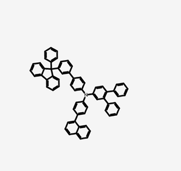 c1ccc(-c2ccc(N(c3ccc(-c4cccc(C5(c6ccccc6)c6ccccc6-c6ccccc65)c4)cc3)c3ccc(-c4cccc5ccccc45)cc3)cc2-c2ccccc2)cc1